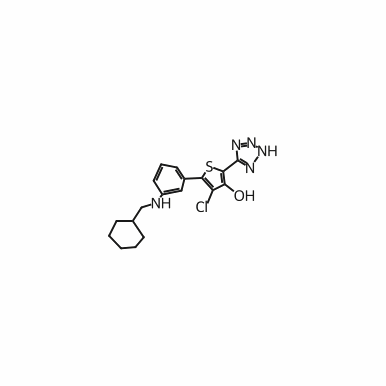 Oc1c(-c2nn[nH]n2)sc(-c2cccc(NCC3CCCCC3)c2)c1Cl